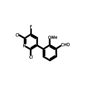 COc1c(C=O)cccc1-c1cc(F)c(Cl)nc1Cl